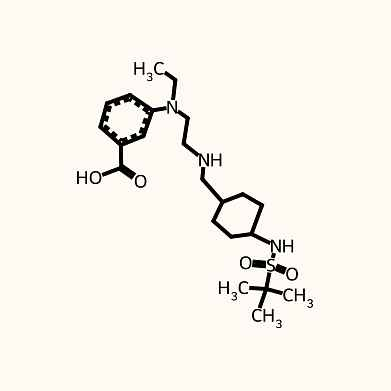 CCN(CCNCC1CCC(NS(=O)(=O)C(C)(C)C)CC1)c1cccc(C(=O)O)c1